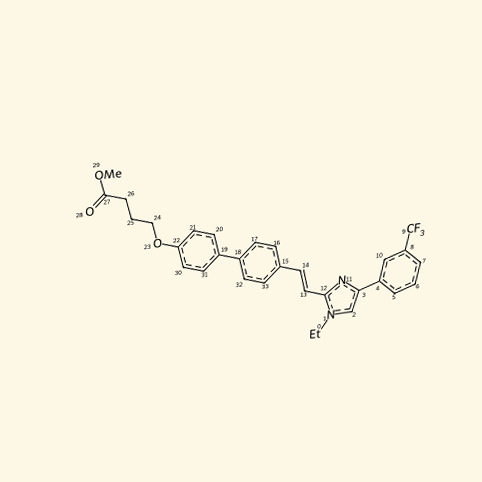 CCn1cc(-c2cccc(C(F)(F)F)c2)nc1/C=C/c1ccc(-c2ccc(OCCCC(=O)OC)cc2)cc1